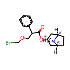 CN1[C@@H]2CC[C@H]1C[C@@H](OC(=O)C(COCBr)c1ccccc1)C2